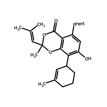 CCCCCc1cc(O)c(C2C=C(C)CCC2)c2c1C(=O)OC(C)(C=C(C)C)O2